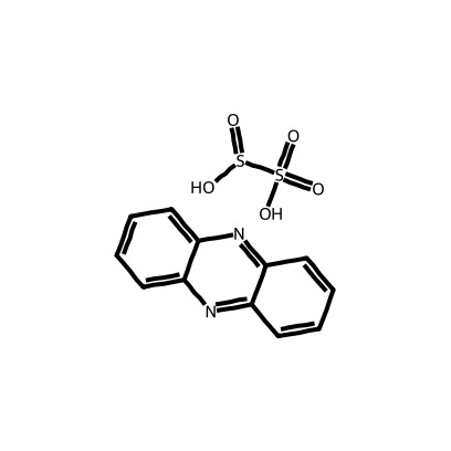 O=S(O)S(=O)(=O)O.c1ccc2nc3ccccc3nc2c1